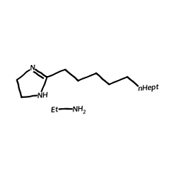 CCCCCCCCCCCCC1=NCCN1.CCN